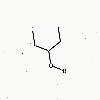 [B]OC(CC)CC